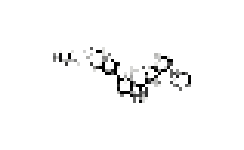 CCC(O)Nc1cncc(-c2ccc3[nH]nc(-c4nc5c(N6CCCCC6)ccnc5[nH]4)c3n2)c1